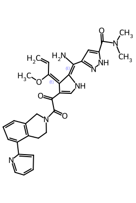 C=C/C(OC)=c1/c(C(=O)C(=O)N2CCc3c(cccc3-c3ccccn3)C2)c[nH]/c1=C(/N)c1cc(C(=O)N(C)C)[nH]n1